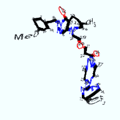 COc1ccc(Cn2ncc3c(c2=O)CC(C)CN3CCOCCC(=O)N2CCN(c3ncc(C(F)(F)F)cn3)CC2)cc1